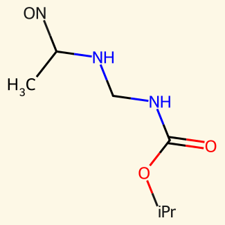 CC(N=O)NCNC(=O)OC(C)C